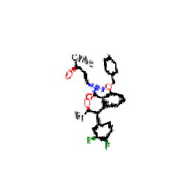 COC(=O)CCNC(=O)c1c(OCc2ccccc2)cccc1C(C(=O)C(C)C)c1ccc(F)c(F)c1